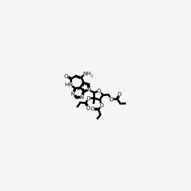 CCC(=O)OCC1OC(n2cc3c4c(ncnc42)NC(=O)C=C3N)C(C)(OC(=O)CC)C1OC(=O)CC